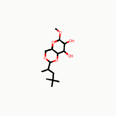 COC1OC2COC(C(C)CC(C)(C)C)OC2C(O)C1O